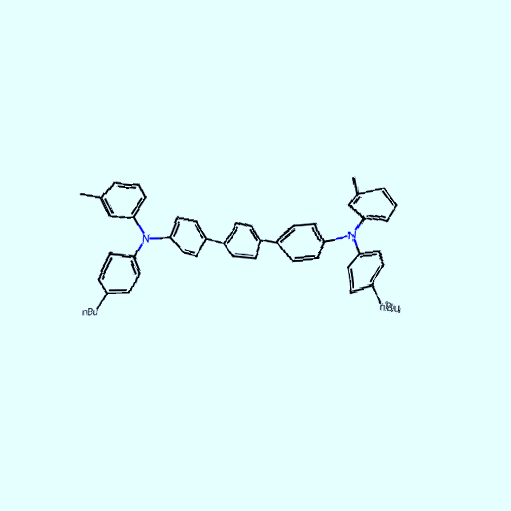 CCCCc1ccc(N(c2ccc(-c3ccc(-c4ccc(N(c5ccc(CCCC)cc5)c5cccc(C)c5)cc4)cc3)cc2)c2cccc(C)c2)cc1